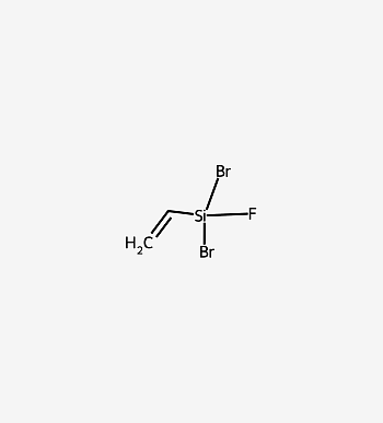 C=C[Si](F)(Br)Br